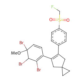 COC1(Br)C=CC(C2=C(c3ccc(S(=O)(=O)CF)cc3)CC3(CC3)C2)=C(Br)C1Br